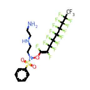 NCCNCCN(OC(F)=C(F)C(F)(F)C(F)(F)C(F)(F)C(F)(F)C(F)(F)C(F)(F)C(F)(F)F)S(=O)(=O)c1ccccc1